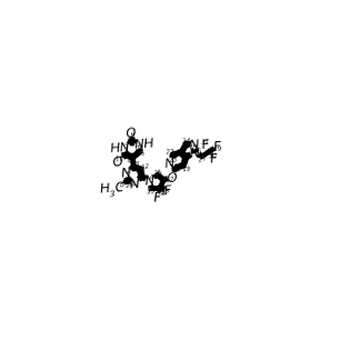 Cc1nc(-c2c[nH]c(=O)[nH]c2=O)cc(N2CC(Oc3cc4c(cn3)cnn4CC(F)(F)F)C(F)(F)C2)n1